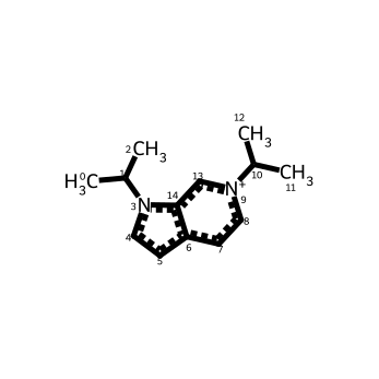 CC(C)n1ccc2cc[n+](C(C)C)cc21